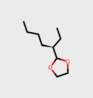 CCCC[C@@H](CC)C1OCCO1